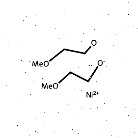 COCC[O-].COCC[O-].[Ni+2]